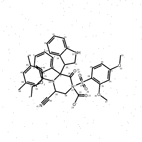 CCOc1ccccc1C1(C2CNc3ccccc32)C(=O)[N+](C(=O)[O-])(S(=O)(=O)c2ccc(OC)cc2OC)CC(C#N)N1c1nc(C)cc(C)n1